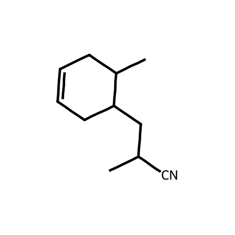 CC(C#N)CC1CC=CCC1C